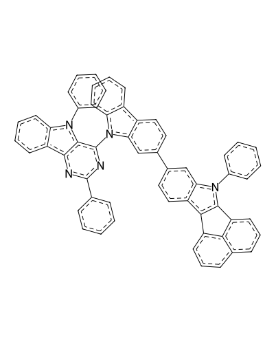 c1ccc(-c2nc(-n3c4ccccc4c4ccc(-c5ccc6c7c(n(-c8ccccc8)c6c5)-c5cccc6cccc-7c56)cc43)c3c(n2)c2ccccc2n3-c2ccccc2)cc1